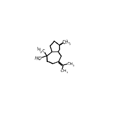 CC(C)=C1CCC(C)(O)C2CCC(C)C2C1